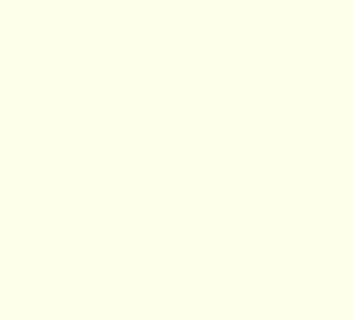 CC(C)(C1CCC(OCC2CC2)CC1)C1CCC(OCC2CO2)CC1